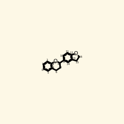 [c]1ccc2c(c1)CCC(c1ccc3c(c1)CCO3)O2